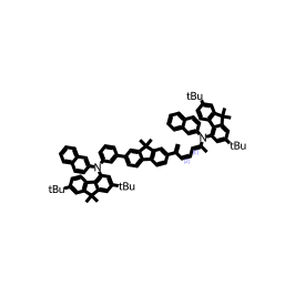 C=C(/C=C\C=C(/C)N(c1ccc2ccccc2c1)c1cc(C(C)(C)C)cc2c1-c1ccc(C(C)(C)C)cc1C2(C)C)c1ccc2c(c1)C(C)(C)c1cc(-c3cccc(N(c4ccc5ccccc5c4)c4cc(C(C)(C)C)cc5c4-c4ccc(C(C)(C)C)cc4C5(C)C)c3)ccc1-2